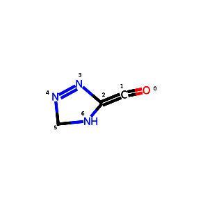 O=C=C1N=NCN1